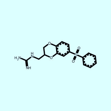 N=C(N)NCC1COc2ccc(S(=O)(=O)c3ccccc3)cc2O1